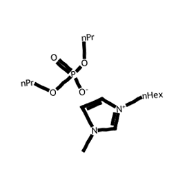 CCCCCC[n+]1ccn(C)c1.CCCOP(=O)([O-])OCCC